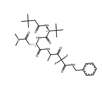 CC(NC(=O)[C@H](CC(=O)N(C)C)NC(=O)[C@@H](NC(=O)CC(C)(C)C)C(C)(C)C)C(=O)C(F)(F)C(=O)NCc1ccccc1